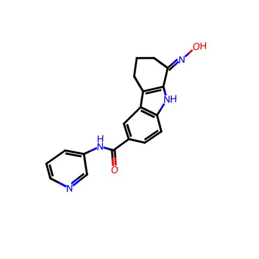 O=C(Nc1cccnc1)c1ccc2[nH]c3c(c2c1)CCCC3=NO